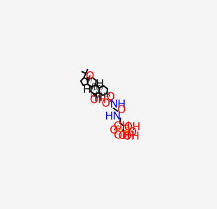 CC1(C)O[C@]23CC[C@H]4[C@@H](C[C@H](O)[C@H]5C[C@@H](OC(=O)NCC(=O)NCCCC(O)(P(=O)(O)O)P(=O)(O)O)CC[C@@]54C)C2CCC13